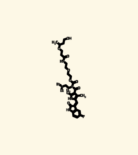 CCN(CC)CCN(C(=O)OCCOCCNC(=O)CCOC(C)CCO)C(=O)c1c(C)[nH]c(/C=C2\C(=O)Nc3ccc(F)cc32)c1C